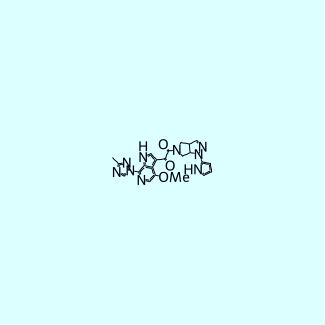 COc1cnc(-n2cnc(C)n2)c2[nH]cc(C(=O)C(=O)N3CC4C=NN(c5ccc[nH]5)C4C3)c12